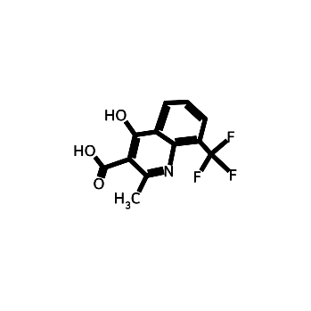 Cc1nc2c(C(F)(F)F)cccc2c(O)c1C(=O)O